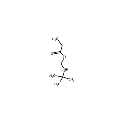 CCC(=O)OCNC(C)(C)C